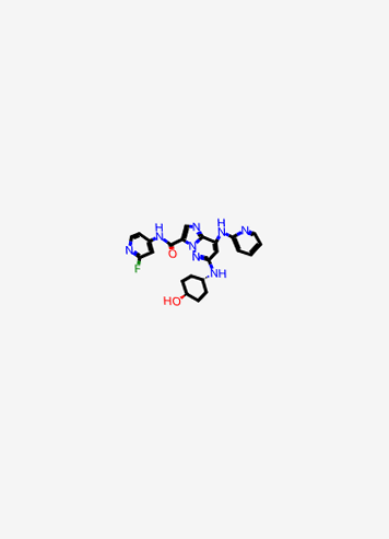 O=C(Nc1ccnc(F)c1)c1cnc2c(Nc3ccccn3)cc(N[C@H]3CC[C@H](O)CC3)nn12